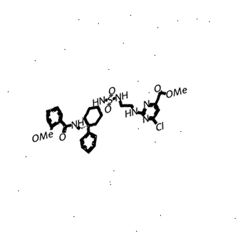 COC(=O)c1cc(Cl)nc(NCCNS(=O)(=O)N[C@H]2CC[C@](CNC(=O)c3ccccc3OC)(c3ccccc3)CC2)n1